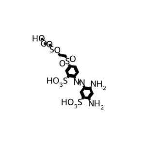 Nc1cc(N)c(S(=O)(=O)O)cc1/N=N/c1ccc(S(=O)(=O)CCOSOOO)cc1S(=O)(=O)O